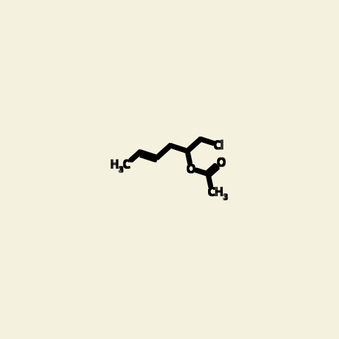 CC=CCC(CCl)OC(C)=O